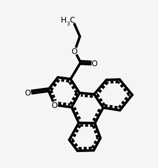 CCOC(=O)c1cc(=O)oc2c3ccccc3c3ccccc3c12